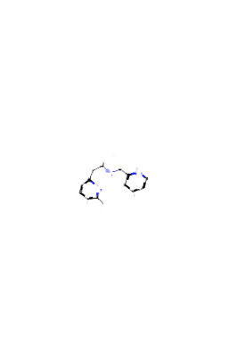 CCCC(Cc1cccc(C)n1)NCc1ccccn1